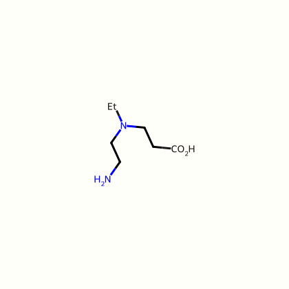 CCN(CCN)CCC(=O)O